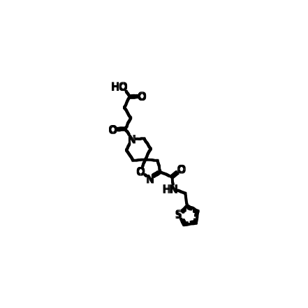 O=C(O)CCC(=O)N1CCC2(CC1)CC(C(=O)NCc1cccs1)=NO2